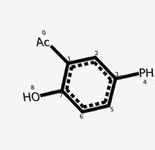 CC(=O)c1cc(P)ccc1O